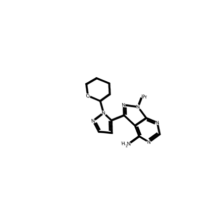 CC(C)n1nc(-c2ccnn2C2CCCCO2)c2c(N)ncnc21